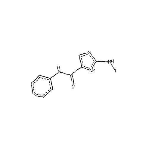 O=C(Nc1ccccc1)c1cnc(NI)[nH]1